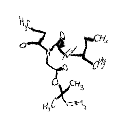 CCC(=O)N(CC(=O)OC(C)(C)C)C(=O)NC(C)CC